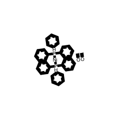 [C]=O.[C]=O.c1ccc([PH]([Ni][PH](c2ccccc2)(c2ccccc2)c2ccccc2)(c2ccccc2)c2ccccc2)cc1